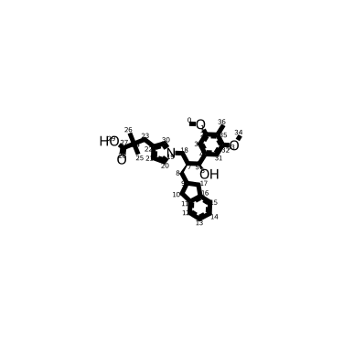 COc1cc([C@@H](O)[C@@H](CC2Cc3ccccc3C2)Cn2ccc(CC(C)(C)C(=O)O)c2)cc(OC)c1C